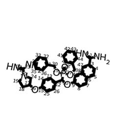 N=C(N)c1ccc2ccc(OC(c3ccc(OC4CCN(C(=N)N)C4)cc3)P(=O)(OCc3ccccc3)OCc3ccccc3)cc2c1